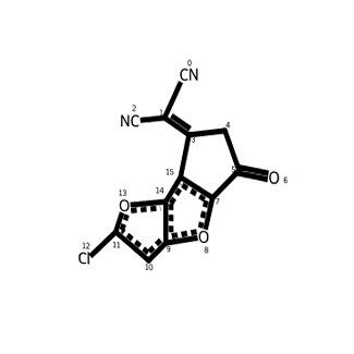 N#CC(C#N)=C1CC(=O)c2oc3cc(Cl)oc3c21